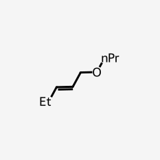 CC/C=C/COCCC